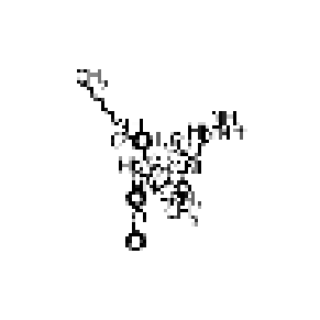 CCCCCCCCNC(=O)c1cccc(C(=O)N[C@@H](Cc2ccc(OCc3ccccc3)cc2)C(=O)N[C@@H](CC(C)C)C(=O)N2CCC[C@H]2C(=O)N[C@H](CCCNC(=N)N)C(=O)OC)c1